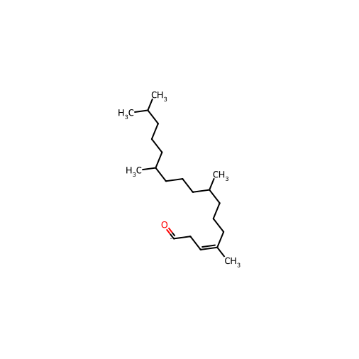 CC(=CC[C]=O)CCCC(C)CCCC(C)CCCC(C)C